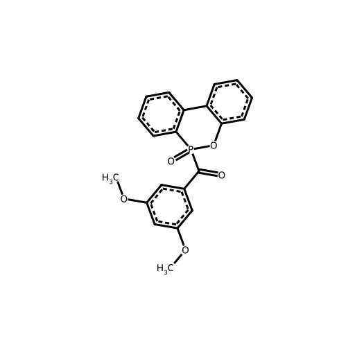 COc1cc(OC)cc(C(=O)P2(=O)Oc3ccccc3-c3ccccc32)c1